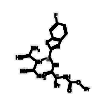 CC(C)OC(=O)N[C@H](C(=O)N[C@H](C)c1nc2ccc(F)cc2s1)C(C)C.N=C(N)NC(=N)N